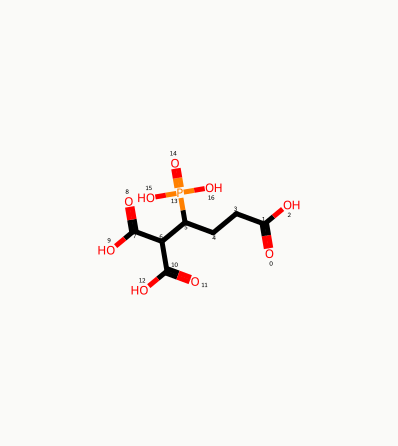 O=C(O)CCC(C(C(=O)O)C(=O)O)P(=O)(O)O